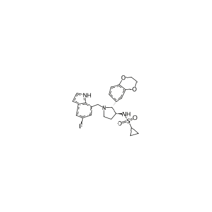 O=S(=O)(N[C@H]1CCN(Cc2cc(F)cc3cc[nH]c23)[C@@H]1c1ccc2c(c1)OCCO2)C1CC1